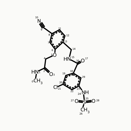 CNC(=O)COc1cc(C#N)ccc1CNC(=O)c1cc(Cl)cc(NS(C)(=O)=O)c1